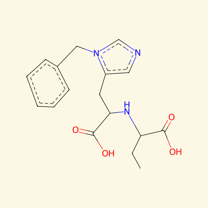 CCC(NC(Cc1cncn1Cc1ccccc1)C(=O)O)C(=O)O